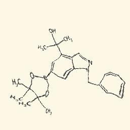 CC(C)(O)c1cc(B2OC(C)(C)C(C)(C)O2)cc2c1cnn2Cc1ccccc1